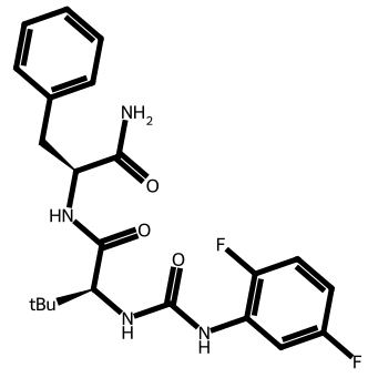 CC(C)(C)[C@H](NC(=O)Nc1cc(F)ccc1F)C(=O)N[C@@H](Cc1ccccc1)C(N)=O